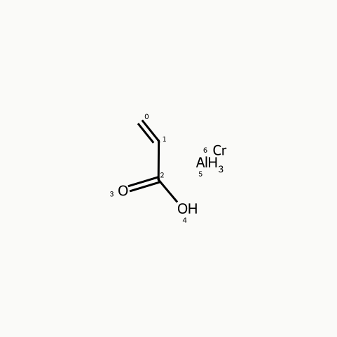 C=CC(=O)O.[AlH3].[Cr]